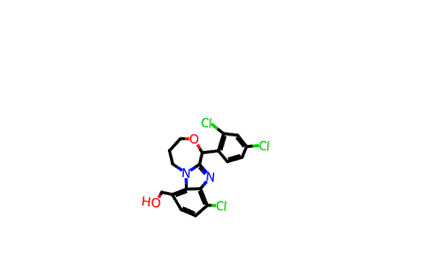 OCc1ccc(Cl)c2nc3n(c12)CCCOC3c1ccc(Cl)cc1Cl